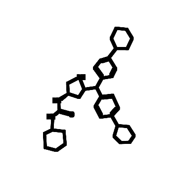 O=C(NC1CCCCC1)N[C@H]1CNC(C(c2ccc(C3CCCCC3)cc2)c2ccc(C3CCCCC3)cc2)C1